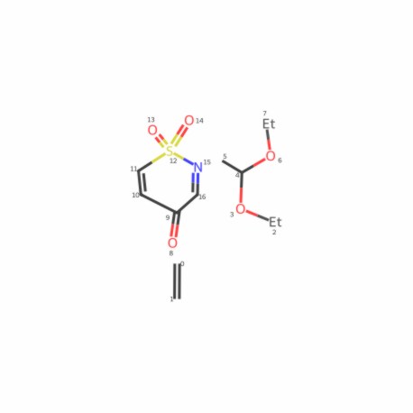 C=C.CCOC(C)OCC.O=C1C=CS(=O)(=O)N=C1